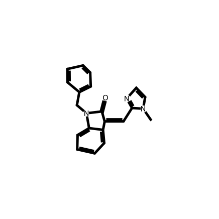 Cn1ccnc1/C=C1\C(=O)N(Cc2ccccc2)c2ccccc21